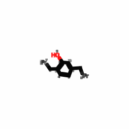 CC(C)Cc1ccc(CC(C)C)c(O)c1